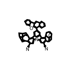 N#Cc1cc2c(c3c1C1CC4CC(C1)CC3C4)c1cc(-c3c4ccccc4cc4c3oc3ccccc34)cc3c4c5c(c(C#N)cc4n2c13)C1CC2CC3CC5CC23C1